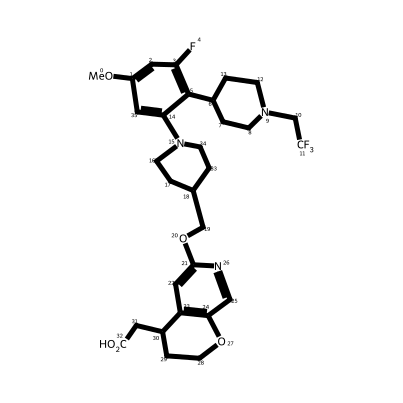 COc1cc(F)c(C2CCN(CC(F)(F)F)CC2)c(N2CCC(COc3cc4c(cn3)OCCC4CC(=O)O)CC2)c1